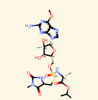 COc1nc(N)nc2c1ncn2[C@@H]1O[C@H](CO[P@](=O)(N[C@H](C)C(=O)OC(C)C)SCC2NC(=O)N(C)C2=O)[C@@H](O)[C@@]1(C)O